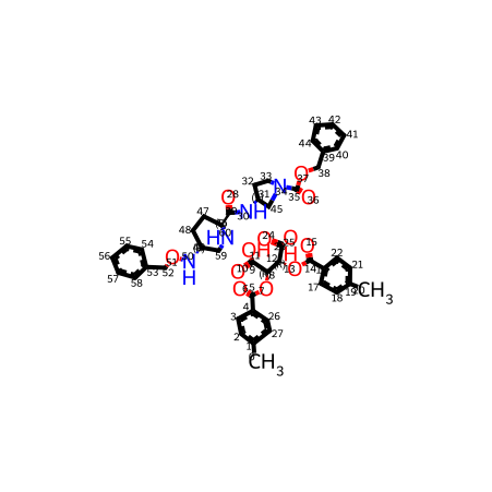 Cc1ccc(C(=O)O[C@@H](C(=O)O)[C@@H](OC(=O)c2ccc(C)cc2)C(=O)O)cc1.O=C(N[C@H]1CCN(C(=O)OCc2ccccc2)C1)[C@@H]1CC[C@@H](NOCc2ccccc2)CN1